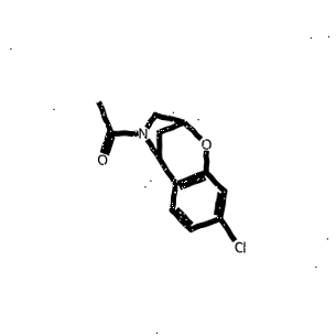 CC(=O)N1CC2CC1c1ccc(Cl)cc1O2